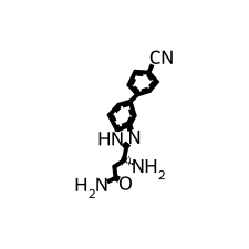 N#Cc1ccc(-c2ccc3[nH]c([C@H](N)CC(N)=O)nc3c2)cc1